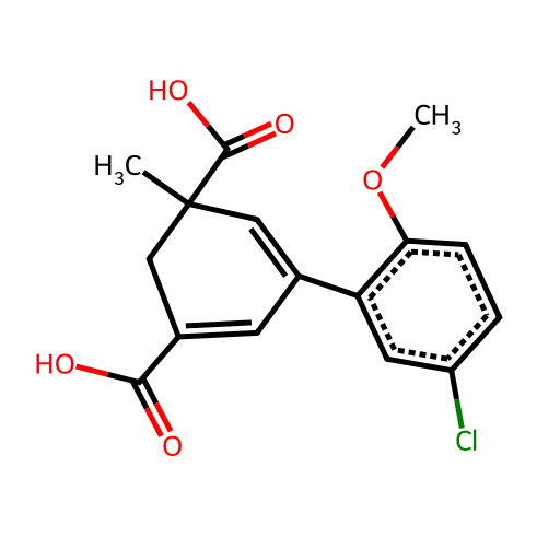 COc1ccc(Cl)cc1C1=CC(C)(C(=O)O)CC(C(=O)O)=C1